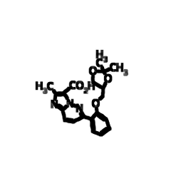 Cc1nc2ccc(-c3ccccc3OCC3COC(C)(C)O3)nn2c1C(=O)O